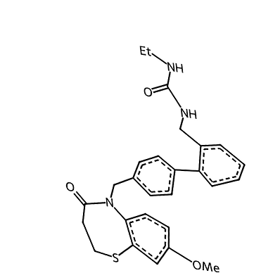 CCNC(=O)NCc1ccccc1-c1ccc(CN2C(=O)CCSc3cc(OC)ccc32)cc1